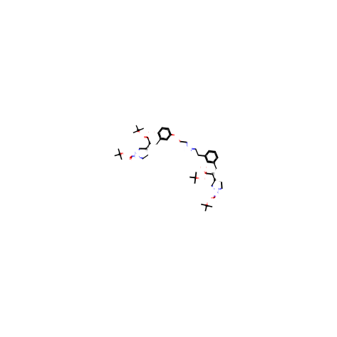 CC(C)(C)OC(=O)[C@@H](Cc1cccc(CCNCCOc2cccc(C[C@H](C(=O)OC(C)(C)C)[C@H]3CCN(C(=O)OC(C)(C)C)C3)c2)c1)[C@H]1CCN(C(=O)OC(C)(C)C)C1